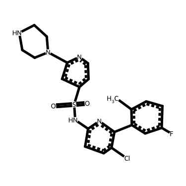 Cc1ccc(F)cc1-c1nc(NS(=O)(=O)c2ccnc(N3CCNCC3)c2)ccc1Cl